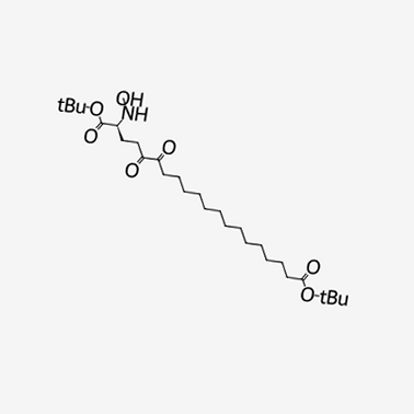 CC(C)(C)OC(=O)CCCCCCCCCCCCCC(=O)C(=O)CC[C@H](NO)C(=O)OC(C)(C)C